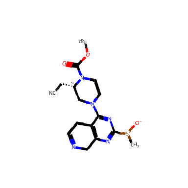 C[S+]([O-])c1nc2c(c(N3CCN(C(=O)OC(C)(C)C)[C@@H](CC#N)C3)n1)CC=NC2